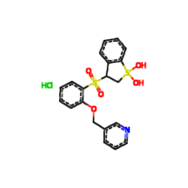 Cl.O=S(=O)(c1ccccc1OCc1cccnc1)C1CS(O)(O)c2ccccc21